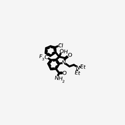 CCN(CC)CCN1C(=O)C(O)(c2ccccc2Cl)c2c(C(F)(F)F)ccc(C(N)=O)c21